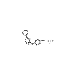 CCOC(=O)Cc1ccc(Nc2ccn(C3=CCCC=C3)n2)cc1